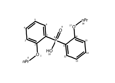 CCCOc1ccccc1P(=O)(O)c1ccccc1OCCC